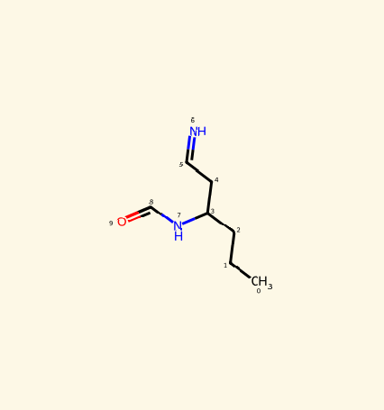 CCCC(CC=N)NC=O